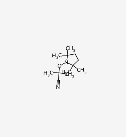 CC(C)(C#N)ON1C(C)(C)CCC1(C)C